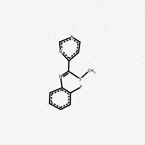 CSC(=Nc1ccccc1F)c1ccncn1